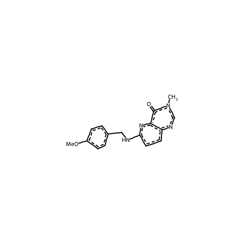 COc1ccc(CNc2ccc3ncn(C)c(=O)c3n2)cc1